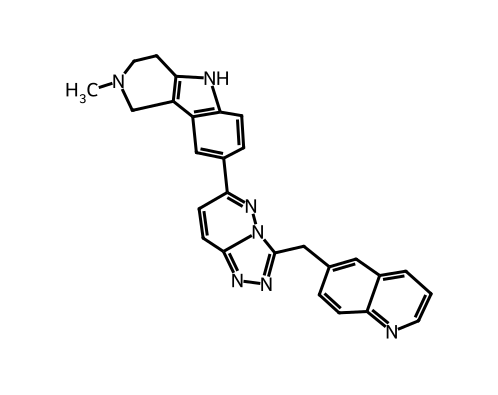 CN1CCc2[nH]c3ccc(-c4ccc5nnc(Cc6ccc7ncccc7c6)n5n4)cc3c2C1